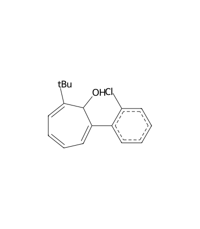 CC(C)(C)C1=CC=CC=C(c2ccccc2Cl)C1O